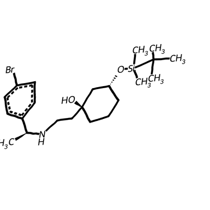 C[C@H](NCC[C@@]1(O)CCC[C@@H](O[Si](C)(C)C(C)(C)C)C1)c1ccc(Br)cc1